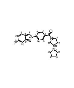 O=C(c1ccc(-n2cc3ccc(F)cc3n2)cc1)N1CC[C@H](N2CCCC2)C1